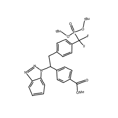 COC(=O)c1ccc(C(Cc2ccc(C(F)(F)P(=O)(OC(C)(C)C)OC(C)(C)C)cc2)n2nnc3ccccc32)cc1